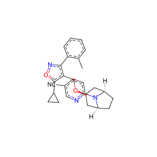 Cc1ccccc1-c1noc(C2CC2)c1CO[C@H]1C[C@H]2CC[C@@H](C1)N2c1ccc(C#N)cn1